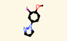 COc1ccc(-n2cccn2)cc1I